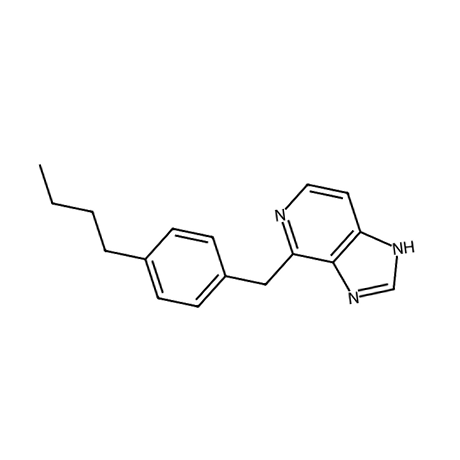 CCCCc1ccc(Cc2nccc3[nH]cnc23)cc1